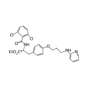 CCOC(=O)[C@H](Cc1ccc(OCCCNc2ccccn2)cc1)NC(=O)c1c(Cl)cccc1Cl